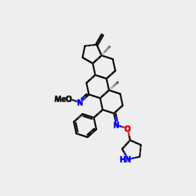 C=C1CCC2C3CC(=NOC)C4C(c5ccccc5)C(=NOC5CCNC5)CC[C@]4(C)C3CC[C@]12C